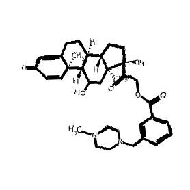 CN1CCN(Cc2cccc(C(=O)OCC(=O)[C@@]3(O)CC[C@H]4[C@@H]5CCC6=CC(=O)C=C[C@]6(C)[C@H]5C(O)C[C@@]43C)c2)CC1